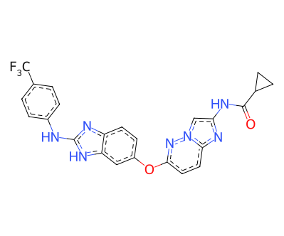 O=C(Nc1cn2nc(Oc3ccc4nc(Nc5ccc(C(F)(F)F)cc5)[nH]c4c3)ccc2n1)C1CC1